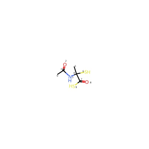 CC(=O)NC(C)(S)C(=O)S